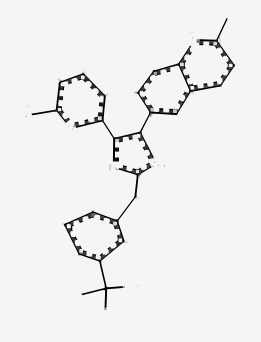 Cc1ccc2cc(-c3nc(Cc4cccc(C(F)(F)F)c4)[nH]c3-c3cccc(Br)n3)ccc2n1